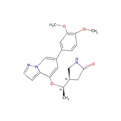 COc1ccc(-c2cc(O[C@H](C)[C@H]3CNC(=O)C3)c3ccnn3c2)cc1OC